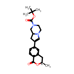 C[C@@H]1Cc2cc(C3=CN4CCN(C(=O)OC(C)(C)C)CC4C3)ccc2C(=O)O1